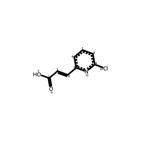 O=C(O)C=Cc1cccc(Cl)n1